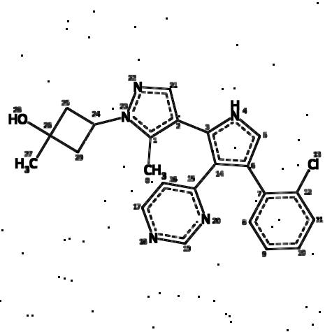 Cc1c(-c2[nH]cc(-c3ccccc3Cl)c2-c2ccncn2)cnn1C1CC(C)(O)C1